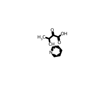 CC(C)C(=O)C(=O)O.c1ccncc1